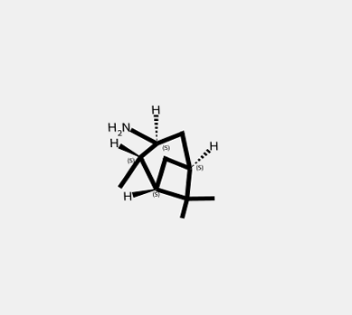 C[C@@H]1[C@@H](N)C[C@@H]2C[C@@H]1C2(C)C